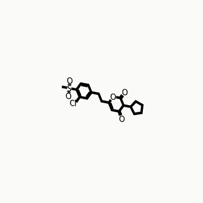 CS(=O)(=O)c1ccc(CCC2=CC(=O)C(C3CCCC3)C(=O)O2)cc1Cl